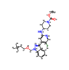 CC(C)(C)OC(=O)N1CCC(Nc2cc(-c3nn(COCC[Si](C)(C)C)c4ccccc34)c(F)cn2)CC1